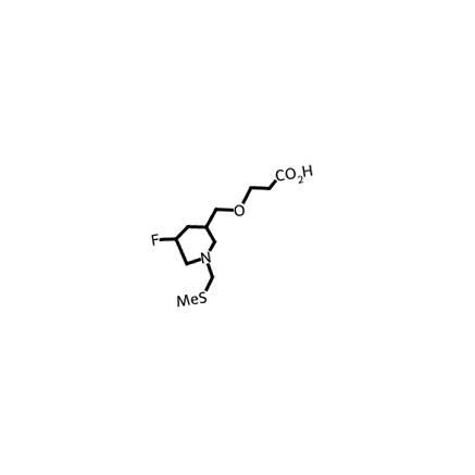 CSCN1CC(F)CC(COCCC(=O)O)C1